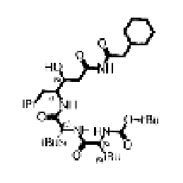 CC[C@H](C)[C@H](NC(=O)OC(C)(C)C)C(=O)N[C@H](C(=O)N[C@@H](CC(C)C)[C@@H](O)CC(=O)NC(=O)CC1CCCCC1)[C@@H](C)CC